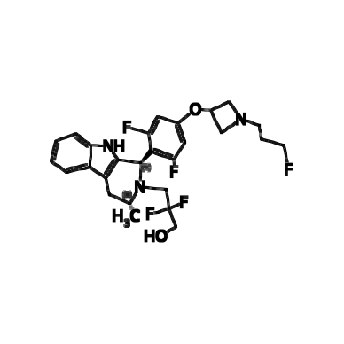 C[C@@H]1Cc2c([nH]c3ccccc23)[C@@H](c2c(F)cc(OC3CN(CCCF)C3)cc2F)N1CC(F)(F)CO